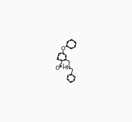 O=[S+]c1ccc(Oc2ccccc2)cc1CNCc1ccccc1